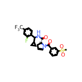 CS(=O)(=O)c1cccc(C(=O)N2C=CC[C@@H]2C(=O)NC(c2ccc(C(F)(F)F)cc2F)C2CC2)c1